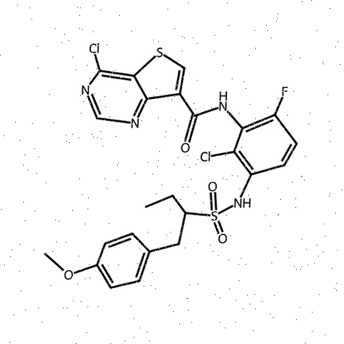 CCC(Cc1ccc(OC)cc1)S(=O)(=O)Nc1ccc(F)c(NC(=O)c2csc3c(Cl)ncnc23)c1Cl